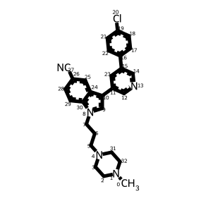 CN1CCN(CCCn2cc(-c3cncc(-c4ccc(Cl)cc4)c3)c3cc(C#N)ccc32)CC1